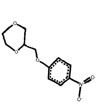 O=[N+]([O-])c1ccc(OCC2COCCO2)cc1